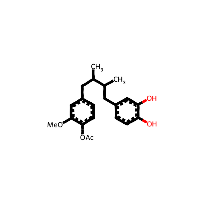 COc1cc(CC(C)C(C)Cc2ccc(O)c(O)c2)ccc1OC(C)=O